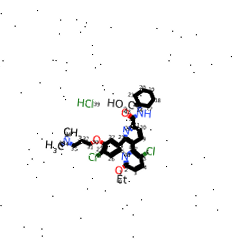 CCOc1ccc(Cl)c(-c2ccc(C(=O)NC3(C(=O)O)CCCCC3)nc2-c2ccc(Cl)c(OCCCN(C)C)c2)n1.Cl